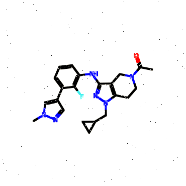 CC(=O)N1CCc2c(c(Nc3cccc(-c4cnn(C)c4)c3F)nn2CC2CC2)C1